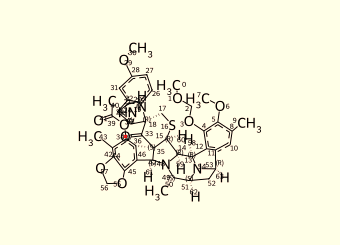 COCOc1c(OC)c(C)cc2c1[C@@H]1[C@@H]3[C@@H]4SC[C@]5(NCCc6c5[nH]c5ccc(OC)cc65)C(=O)[C@@]45c4c(OC(C)=O)c(C)c6c(c4[C@@H]5N3[C@@H](C)[C@@H]3C[C@H]2N13)OCO6